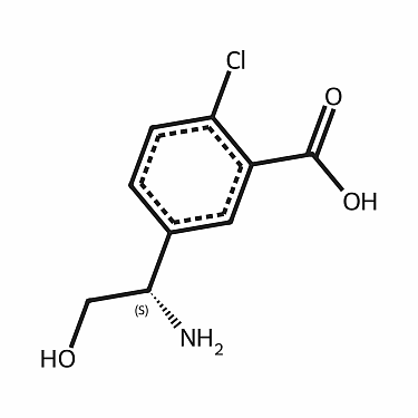 N[C@H](CO)c1ccc(Cl)c(C(=O)O)c1